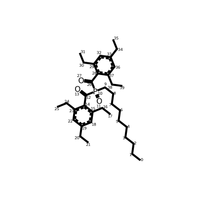 CCCCCCCCCCP(=O)(C(=O)c1c(CC)cc(CC)cc1CC)C(=O)c1c(CC)cc(CC)cc1CC